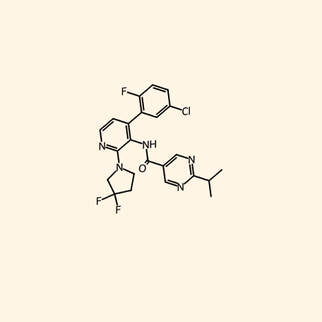 CC(C)c1ncc(C(=O)Nc2c(-c3cc(Cl)ccc3F)ccnc2N2CCC(F)(F)C2)cn1